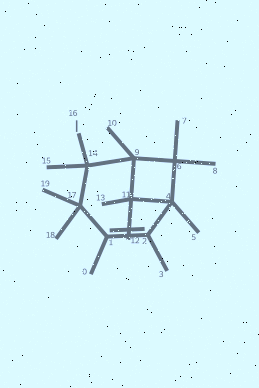 CC1=C(C)C2(C)C(C)(C)C(C)(C2(C)C)C(C)(I)C1(C)C